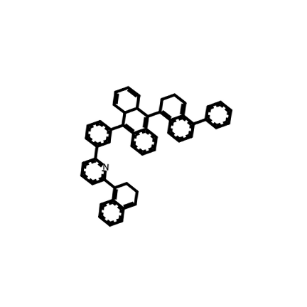 C1=CC2C(C3=c4cccc(-c5ccccc5)c4=CCC3)=c3ccccc3=C(c3cccc(-c4cccc(C5=c6ccccc6=CCC5)n4)c3)C2C=C1